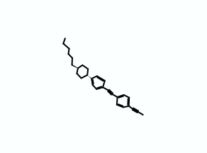 CC#Cc1ccc(C#Cc2ccc([C@H]3CC[C@H](CCCCCC)CC3)cc2)cc1